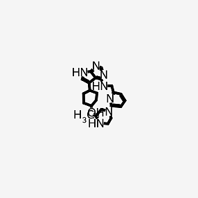 C[C@@H]1CN(c2cccc(CNc3ncnc4[nH]cc(C5CCC(O)CC5)c34)n2)CCN1